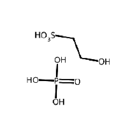 O=P(O)(O)O.O=S(=O)(O)CCO